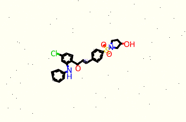 O=C(/C=C/c1ccc(S(=O)(=O)N2CCC(O)C2)cc1)c1ccc(Cl)cc1Nc1ccccc1